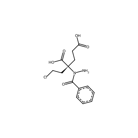 NN(C(=O)c1ccccc1)[C@@](CCCl)(CCC(=O)O)C(=O)O